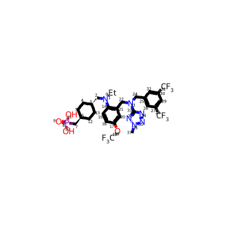 CCN(C[C@H]1CC[C@H](CP(=O)(O)O)CC1)c1ccc(OC(F)(F)F)cc1CN(Cc1cc(C(F)(F)F)cc(C(F)(F)F)c1)c1nnn(C)n1